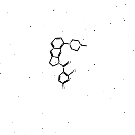 CN1CCN(c2cccc3cc4c(cc23)N(C(=O)c2ccc(Cl)cc2Cl)CC4)CC1